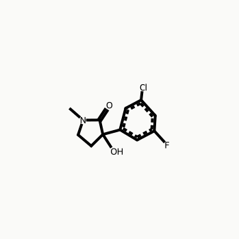 CN1CCC(O)(c2cc(F)cc(Cl)c2)C1=O